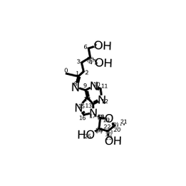 CC(CC[C@@H](O)CO)=Nc1ncnc2c1ncn2[C@@H]1O[C@H](C)[C@@H](O)[C@H]1O